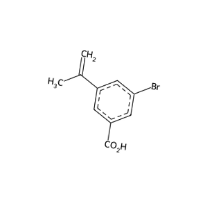 C=C(C)c1cc(Br)cc(C(=O)O)c1